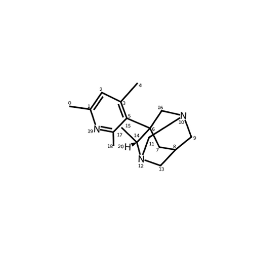 Cc1cc(C)c(C23CC4CN(CN(C4)[C@@H]2C)C3)c(C)n1